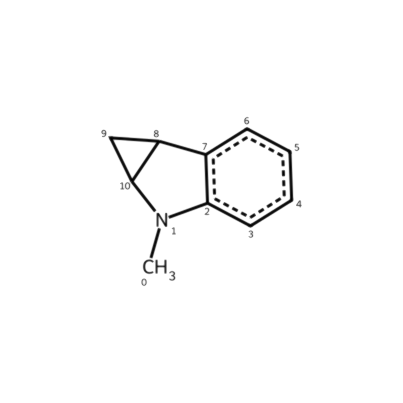 CN1c2ccccc2C2CC21